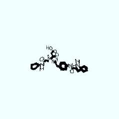 CN(CC(=O)NC1CCCC1)c1nc(Cc2ccc(NC(=O)c3cc4ccccc4[nH]3)cc2)nc(Cl)c1CC(=O)O